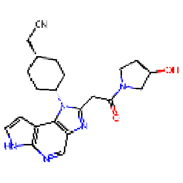 N#CC[C@H]1CC[C@H](n2c(CC(=O)N3CC[C@@H](O)C3)nc3cnc4[nH]ccc4c32)CC1